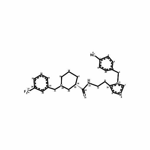 N#Cc1ccc(Cn2cncc2CCNC(=O)[C@H]2CCCN(Cc3cccc(C(F)(F)F)c3)C2)cc1